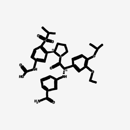 CCOc1cc([C@H](Nc2cccc(C(N)=O)c2)C(=O)N2CCC[C@@H]2c2cc(NC(=O)O)ccc2S(=O)(=O)C(C)C)ccc1OC(C)C